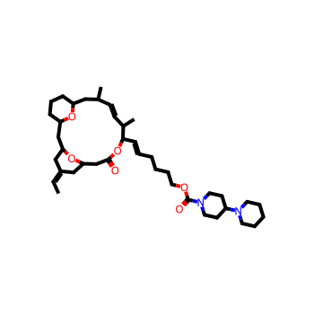 C/C=C1\CC2CC(=O)OC(/C=C/CCCCOC(=O)N3CCC(N4CCCCC4)CC3)C(C)/C=C/C(C)CC3CCCC(CC(C1)O2)O3